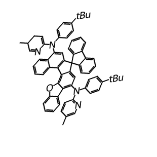 Cc1ccc(N(c2ccc(C(C)(C)C)cc2)c2cc3c(c4oc5ccccc5c24)-c2c(cc(N(C4=CCC(C)C=N4)c4ccc(C(C)(C)C)cc4)c4ccccc24)C32c3ccccc3-c3ccccc32)nc1